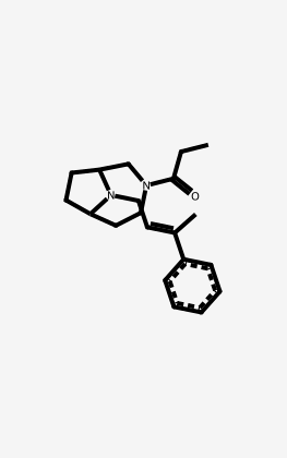 CCC(=O)N1CCC2CCC(C1)N2C/C=C(\C)c1ccccc1